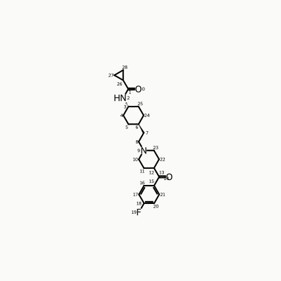 O=C(N[C@H]1CC[C@H](CCN2CCC(C(=O)c3ccc(F)cc3)CC2)CC1)C1CC1